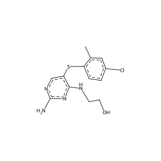 Cc1cc(Cl)ccc1Sc1cnc(N)nc1NCCO